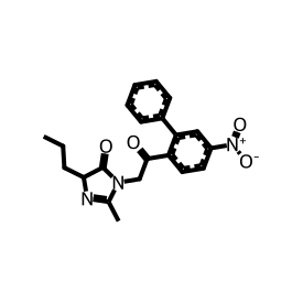 CCCC1N=C(C)N(CC(=O)c2ccc([N+](=O)[O-])cc2-c2ccccc2)C1=O